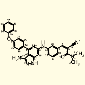 CN(C)C(=O)C(C#N)=Cc1cccc(Nc2cc3[nH]nc(N)c3c(-c3ccc(Oc4ccccc4)cc3)n2)c1